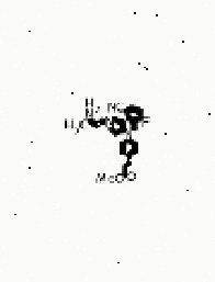 COC(=O)/C=C/c1ccc(N(Cc2cc(C#N)ccc2F)C2CCN(CCC(C)N)CC2)cc1